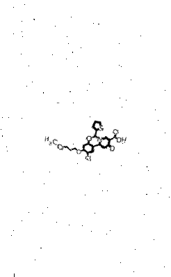 COCCCOc1cc2c(cc1Cl)-c1cc(=O)c(C(=O)O)cn1C(c1cccs1)O2